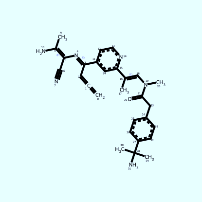 C=C=C/C(=N\C(C#N)=C(/C)N)c1ccnc(/C(C)=C/N(C)C(=O)Cc2ccc(C(C)(C)N)cc2)c1